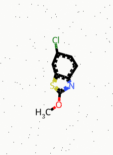 COc1nc2ccc(Cl)cc2s1